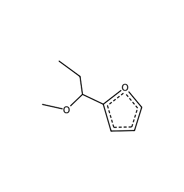 CCC(OC)c1ccco1